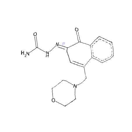 NC(=O)N/N=C1\C=C(CN2CCOCC2)c2ccccc2C1=O